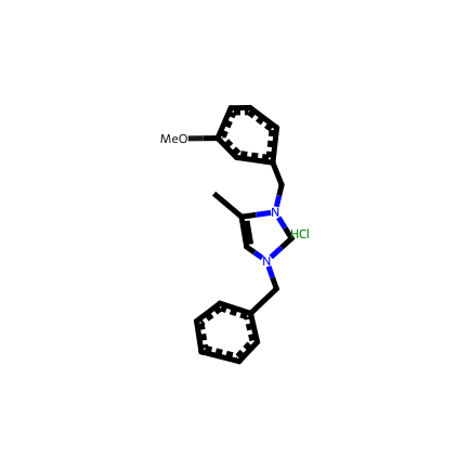 COc1cccc(CN2CN(Cc3ccccc3)C=C2C)c1.Cl